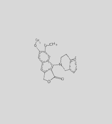 COc1cc2cc3c(c(N4CCc5sccc5C4)c2cc1OC)C(=O)OC3